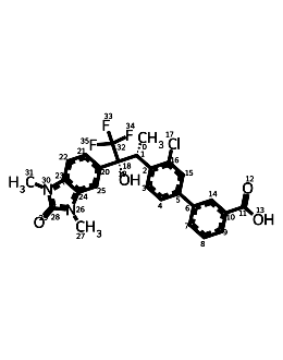 C[C@H](c1ccc(-c2cccc(C(=O)O)c2)cc1Cl)[C@@](O)(c1ccc2c(c1)n(C)c(=O)n2C)C(F)(F)F